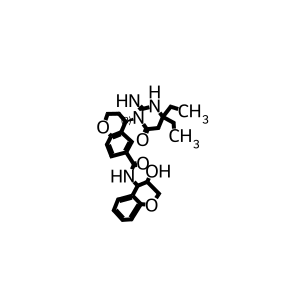 CCC1(CC)CC(=O)N([C@@H]2CCOc3ccc(C(=O)NC4c5ccccc5OCC4O)cc32)C(=N)N1